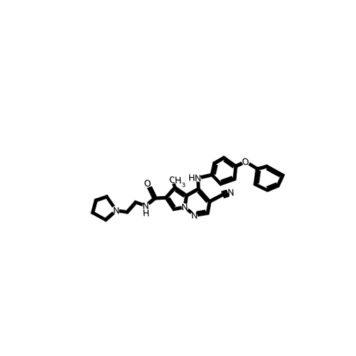 Cc1c(C(=O)NCCN2CCCC2)cn2ncc(C#N)c(Nc3ccc(Oc4ccccc4)cc3)c12